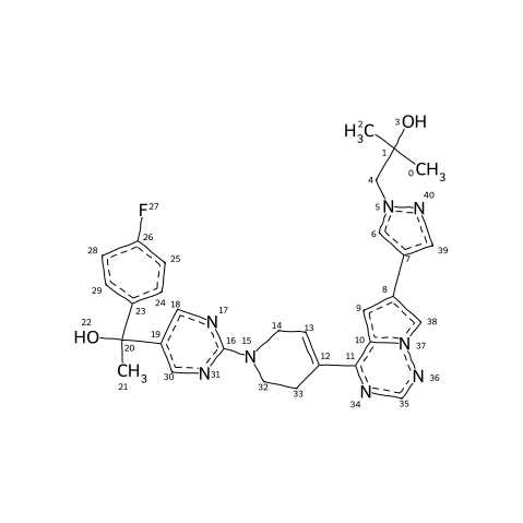 CC(C)(O)Cn1cc(-c2cc3c(C4=CCN(c5ncc(C(C)(O)c6ccc(F)cc6)cn5)CC4)ncnn3c2)cn1